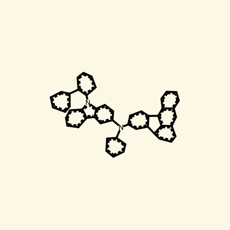 c1ccc(-c2ccccc2-n2c3ccccc3c3cc(N(c4ccccc4)c4ccc5c(c4)-c4cccc6cc7ccccc7c-5c46)ccc32)cc1